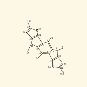 Cc1c2c(c(C)c3c1C(C)c1cc(I)sc1-3)C(C)c1cc(I)sc1-2